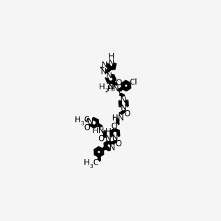 CCc1cccc(-c2cnc(C(=O)N3CCC(OCCNCC(=O)N4CCN(CC[C@H](NC(=O)C5(N)CCN(c6ncnc7[nH]ccc67)CC5)c5ccc(Cl)cc5)CC4)CC3)c(NC(=O)CNCC3CCN(C)C(=O)C3)c2)c1